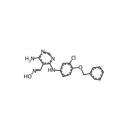 Nc1ncnc(Nc2ccc(OCc3ccccc3)c(Cl)c2)c1C=NO